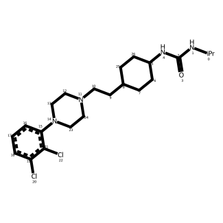 CC(C)NC(=O)NC1CCC(CCN2CCN(c3cccc(Cl)c3Cl)CC2)CC1